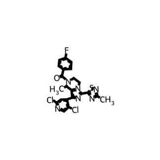 Cc1nsc(-c2nc(-c3cc(Cl)ncc3Cl)c3n2CCN(C(=O)c2ccc(F)cc2)C3C)n1